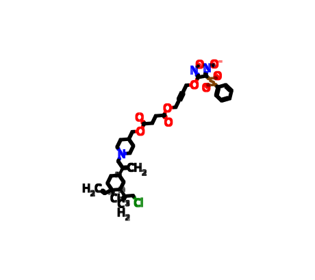 C=C[C@]1(C)CC[C@@H](C(=C)CN2CCC(COC(=O)CCC(=O)OCC#CCOc3no[n+]([O-])c3S(=O)(=O)c3ccccc3)CC2)C[C@H]1C(=C)CCl